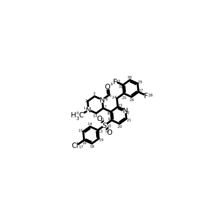 CN1CCN(C=O)C(c2c(S(=O)(=O)c3ccc(Cl)cc3)ccnc2Cc2cc(F)ccc2F)C1